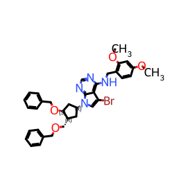 COc1ccc(CNc2ncnc3c2c(Br)cn3[C@@H]2C[C@H](COCc3ccccc3)[C@@H](OCc3ccccc3)C2)c(OC)c1